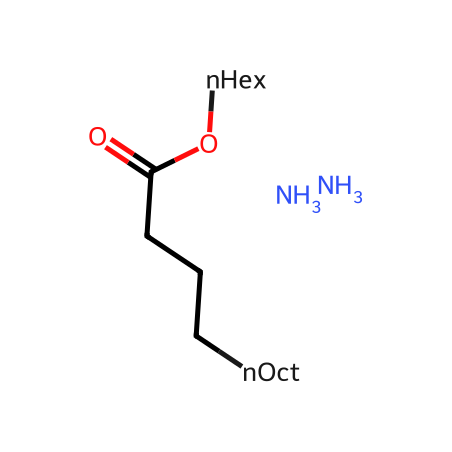 CCCCCCCCCCCC(=O)OCCCCCC.N.N